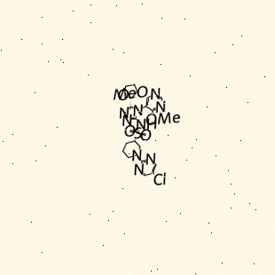 COc1ncnc(OC)c1-n1c(NS(=O)(=O)[C@H]2CCCN(c3ncc(Cl)cn3)C2)nnc1[C@H]1CCCO1